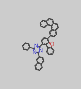 c1ccc(-c2nc(-c3ccc4ccccc4c3)nc(-c3ccc(-c4ccc5ccc6ccc7ccccc7c6c5c4)c4oc5ccccc5c34)n2)cc1